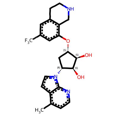 Cc1ccnc2c1ccn2[C@@H]1C[C@H](Oc2cc(C(F)(F)F)cc3c2CNCC3)[C@@H](O)[C@H]1O